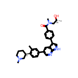 Cc1cc(-c2cnc3[nH]cc(-c4ccc(C(=O)N(C)C[C@@H](C)O)cc4)c3c2)ccc1[C@@H]1CCCN(C)C1